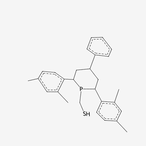 Cc1ccc(C2CC(c3ccccc3)CC(c3ccc(C)cc3C)P2CS)c(C)c1